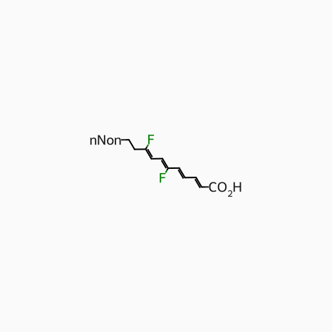 CCCCCCCCCCCC(F)=CC=C(F)C=CC=CC(=O)O